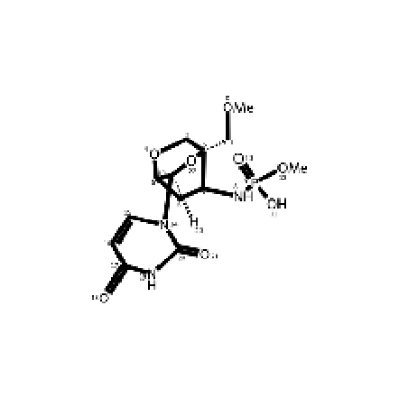 COC[C@]12COC(CC1NP(=O)(O)OC)[C@H](n1ccc(=O)[nH]c1=O)O2